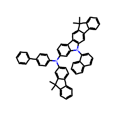 CC1(C)c2ccccc2-c2ccc(N(c3ccc(-c4ccccc4)cc3)c3ccc4c5cc6c(cc5n(-c5cccc7ccccc57)c4c3)-c3ccccc3C6(C)C)cc21